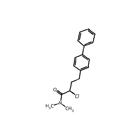 CN(C)C(=O)C(Cl)CCc1ccc(-c2ccccc2)cc1